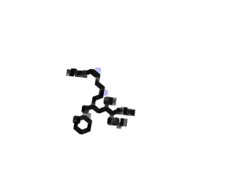 CCCCC/C=C\C/C=C\CC(CC(O)C(CCCCCC)C(=O)O)O[C@@H]1CCCCO1